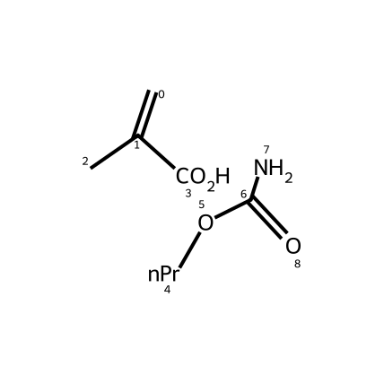 C=C(C)C(=O)O.CCCOC(N)=O